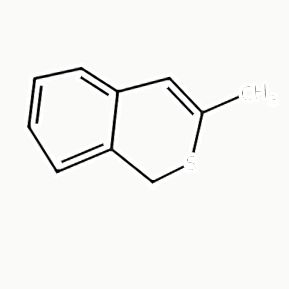 CC1=Cc2ccccc2[CH]S1